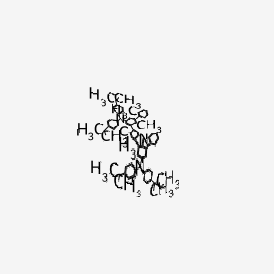 Cc1ccccc1-c1cc(N(c2ccc(C(C)C)cc2)c2ccc(C(C)C)cc2)cc(-c2cc3c(cc2C)c2cc(N(c4ccc(C(C)C)cc4)c4ccc(C(C)C)cc4)cc4c5ccccc5n3c42)c1C